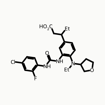 CCC(CC(=O)O)c1ccc(N(CC)C2CCOC2)c(NC(=O)Nc2ccc(Cl)cc2F)c1